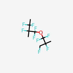 CC(F)(F)C(C)(F)C(F)(F)OC(F)(F)C(C)(F)CF